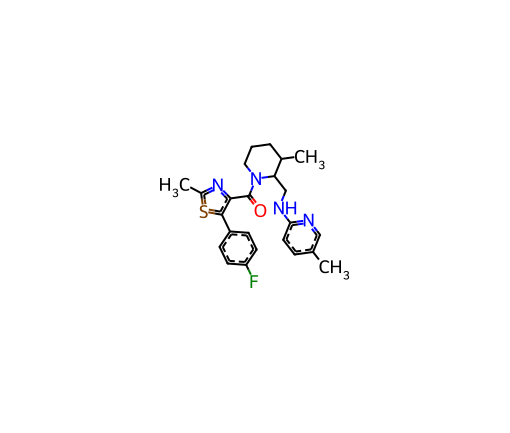 Cc1ccc(NCC2C(C)CCCN2C(=O)c2nc(C)sc2-c2ccc(F)cc2)nc1